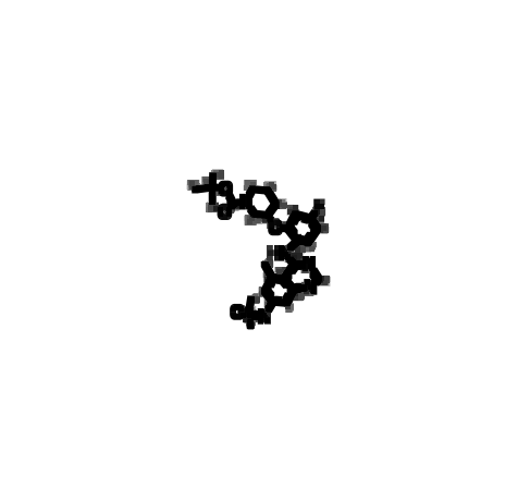 Cc1cc(N=S(C)(C)=O)cc2ncnc(Nc3ccc(F)cc3O[C@@H]3CCCN(C(=O)OC(C)(C)C)C3)c12